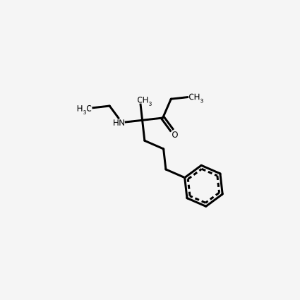 CCNC(C)(CCCc1ccccc1)C(=O)CC